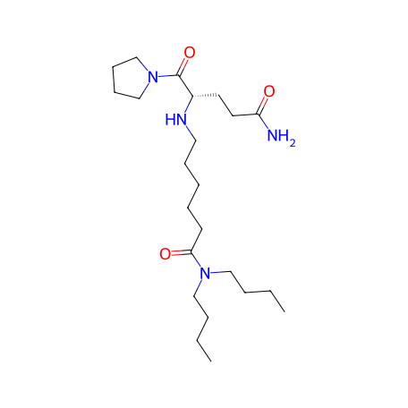 CCCCN(CCCC)C(=O)CCCCCN[C@@H](CCC(N)=O)C(=O)N1CCCC1